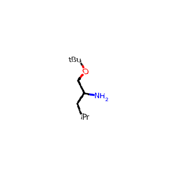 CC(C)CC(N)COC(C)(C)C